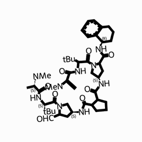 C=C(NC)C(=O)NC(C(=O)N1C[C@@H](NC(=O)C2CCCC2C(=O)N[C@H]2CC(C=O)N(C(=O)[C@@H](NC(=O)[C@H](C)NC)C(C)(C)C)C2)CC1C(=O)N[C@@H]1CCCc2ccccc21)C(C)(C)C